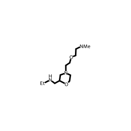 CCNCC1CN(CCOCCNC)CCO1